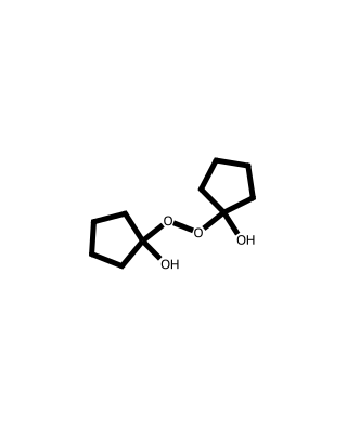 OC1(OOC2(O)CCCC2)CCCC1